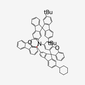 CC(C)(C)c1ccc2c(c1)C1(c3ccccc3-c3ccc(N(c4ccc5c(c4)C4(c6ccccc6O5)c5cc(C6CCCCC6)ccc5-c5ccc(C6CCCCC6)cc54)c4cccc5c4oc4ccccc45)cc31)c1cc(C(C)(C)C)ccc1-2